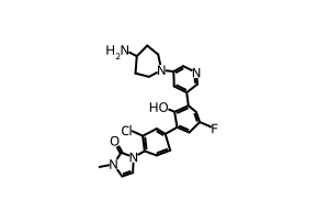 Cn1ccn(-c2ccc(-c3cc(F)cc(-c4cncc(N5CCC(N)CC5)c4)c3O)cc2Cl)c1=O